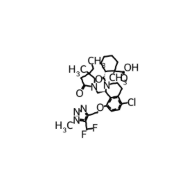 CCC1(C)CC(=O)N(C[C@@H]2c3c(OCc4nnn(C)c4C(F)F)ccc(Cl)c3CCN2C(=O)[C@@H]2CCCC[C@]2(C)C(=O)O)C1